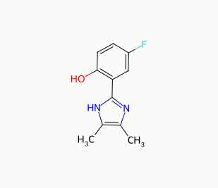 Cc1nc(-c2cc(F)ccc2O)[nH]c1C